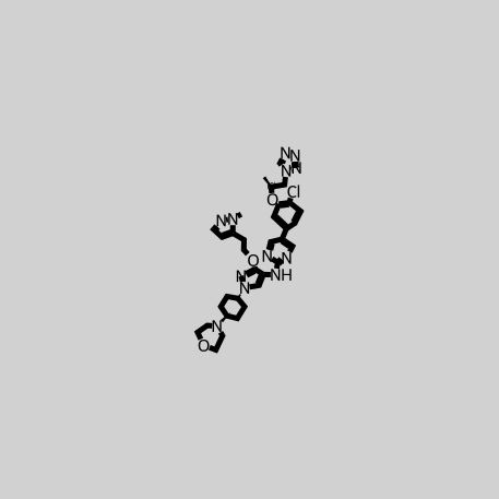 C[C@@H](Cn1cnnn1)Oc1cc(-c2cnc(Nc3cn([C@H]4CC[C@H](N5CCOCC5)CC4)nc3OCCc3ccnn3C)nc2)ccc1Cl